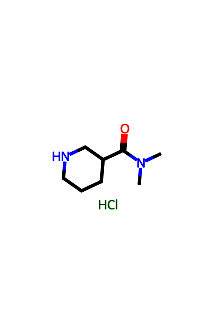 CN(C)C(=O)C1CCCNC1.Cl